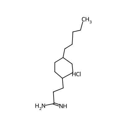 CCCCCC1CCC(CCC(=N)N)CC1.Cl